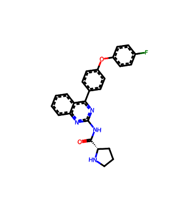 O=C(Nc1nc(-c2ccc(Oc3ccc(F)cc3)cc2)c2ccccc2n1)[C@@H]1CCCN1